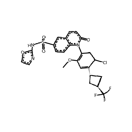 COC1=C(n2c(=O)ccc3cc(S(=O)(=O)Nc4ncco4)ccc32)CC(Cl)C([C@H]2C[C@H](C(F)(F)F)C2)=C1